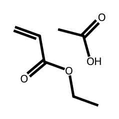 C=CC(=O)OCC.CC(=O)O